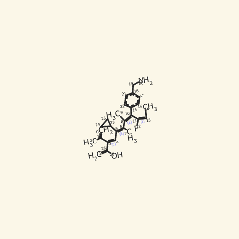 C=C(C)\C(=C/C(=C(C)/C(C)=C(\C(F)=C/C)c1ccc(CN)cc1)C1CC1)C(=C)O